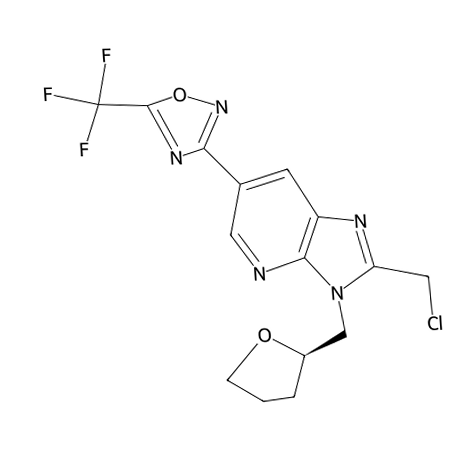 FC(F)(F)c1nc(-c2cnc3c(c2)nc(CCl)n3C[C@H]2CCCO2)no1